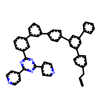 C=CCc1ccc(-c2cc(-c3ccccc3)cc(-c3ccc(-c4cccc(-c5cccc(-c6nc(-c7ccncc7)nc(-c7ccncc7)n6)c5)c4)cc3)c2)cc1